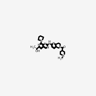 C[C@@H](O)c1cc2cnc(Nc3ccc4c(n3)CCN(C(=O)C3CCN(C)CC3)C4)nc2c(N2CCCCC2)n1